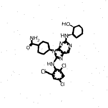 NC(=O)C1CCC(n2c(Nc3c(Cl)cc(Cl)cc3Cl)nc3cnc(N[C@@H]4CCCC[C@@H]4O)nc32)CC1